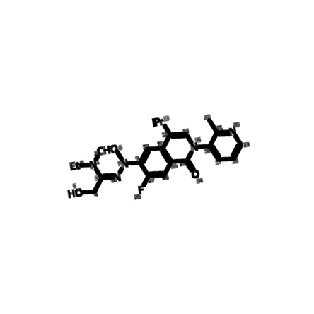 CCN(C=O)/C(CO)=N\N(C)c1cc2c(C(C)C)cn(-c3cccnc3C)c(=O)c2cc1F